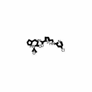 O=C(NC(CC1CCCC1)C(=O)NC1COC1)c1ccc(CNc2cc(Cl)ccn2)s1